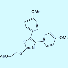 COCCSc1nc(-c2ccc(OC)cc2)c(-c2ccc(OC)cc2)s1